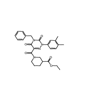 CCOC(=O)C1CCCN(C(=O)c2nn(-c3ccc(C)c(C)c3)c(=O)n(Cc3ccccc3)c2=O)C1